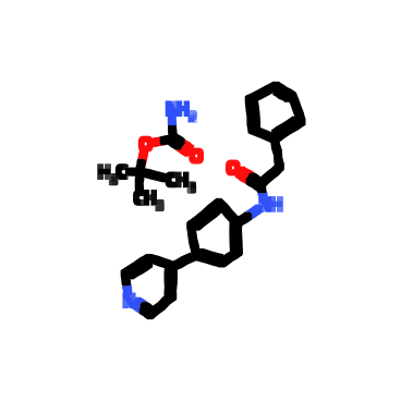 CC(C)(C)OC(N)=O.O=C(Cc1ccccc1)Nc1ccc(-c2ccncc2)cc1